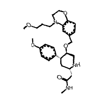 CNC(=O)C[C@@H]1C[C@H](c2ccc(OC)cc2)[C@@H](OCc2ccc3c(c2)N(CCCOC)CCO3)CN1